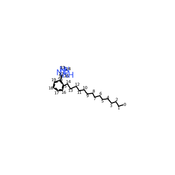 CCCCCCCCCCCCCCCc1ccccc1-c1nnn[nH]1